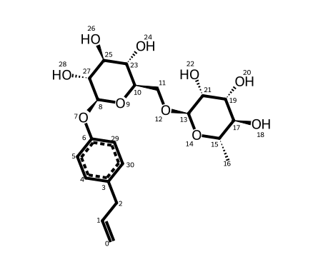 C=CCc1ccc(O[C@@H]2O[C@H](CO[C@@H]3O[C@@H](C)[C@H](O)[C@@H](O)[C@H]3O)[C@@H](O)[C@H](O)[C@H]2O)cc1